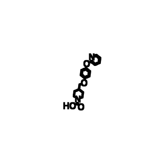 O=C(O)N1CCC(COc2ccc(Oc3ccccn3)cc2)CC1